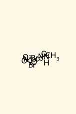 CNC(=O)c1ccc2cc(Oc3c(Br)cc([N+](=O)[O-])cc3Br)ccc2n1